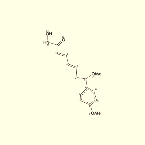 COc1ccc(C(CC=CC=CC(=O)NO)OC)cc1